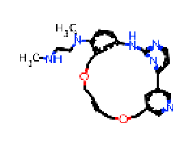 CNCCN(C)c1ccc2cc1COC/C=C/COCc1cncc(c1)-c1ccnc(n1)N2